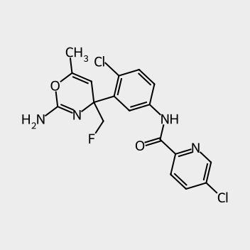 CC1=CC(CF)(c2cc(NC(=O)c3ccc(Cl)cn3)ccc2Cl)N=C(N)O1